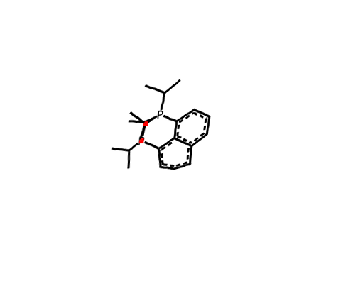 CC(C)P(c1cccc2cccc(P(C(C)C)C(C)C)c12)C(C)C